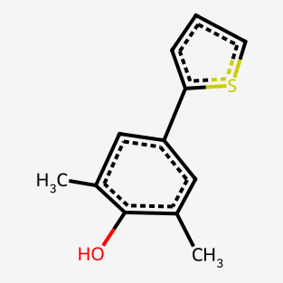 Cc1cc(-c2cccs2)cc(C)c1O